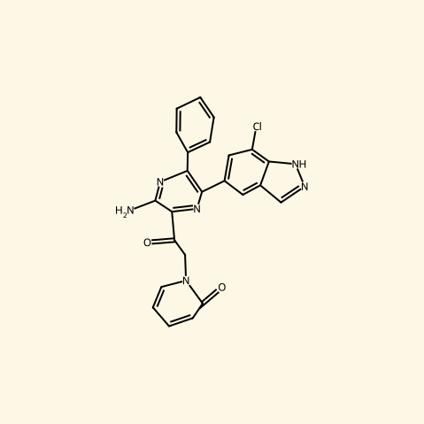 Nc1nc(-c2ccccc2)c(-c2cc(Cl)c3[nH]ncc3c2)nc1C(=O)Cn1ccccc1=O